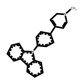 CN1C=CC(c2ccc(-n3c4ccccc4c4ccccc43)cc2)=CC1